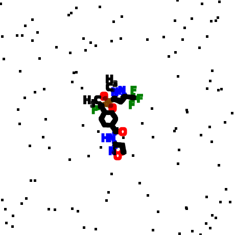 Cn1nc(C(F)(F)F)cc1S(=O)(=O)C(C)(F)C1CCC(C(=O)Nc2ccon2)CC1